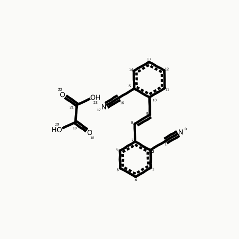 N#Cc1ccccc1C=Cc1ccccc1C#N.O=C(O)C(=O)O